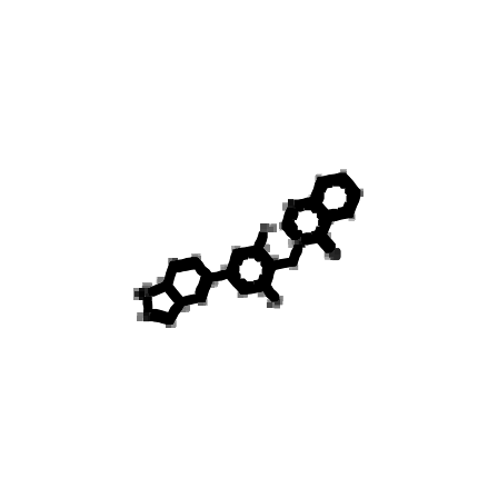 O=c1c2ccccc2ncn1Cc1c(F)cc(C2=CC3C=NNC3C=C2)cc1F